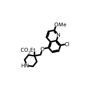 CCOC(=O)C1(COc2ccc(Cl)c3nc(OC)ccc23)CCNCC1